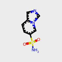 NS(=O)(=O)c1ccc2cncn2c1